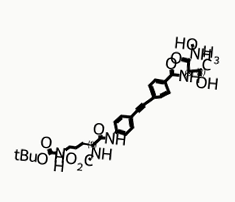 C[C@@H](O)[C@H](NC(=O)c1ccc(C#Cc2ccc(NC(=O)[C@H](CCCNC(=O)OC(C)(C)C)NC(=O)O)cc2)cc1)C(=O)NO